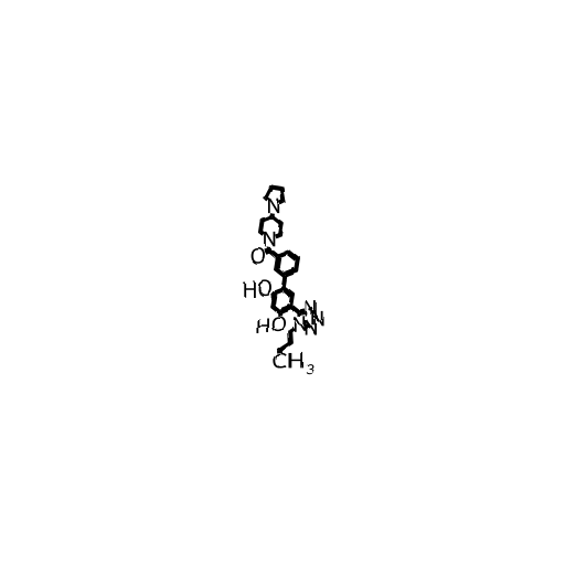 CCCCn1nnnc1-c1cc(-c2cccc(C(=O)N3CCC(N4CCCC4)CC3)c2)c(O)cc1O